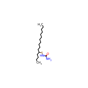 CCCCCCCCCCCC(CCCC)SNC(N)=O